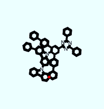 C1=C(c2nc(-c3ccccc3)nc(-c3ccccc3)n2)CC(c2ccc(-c3ccccc3)cc2)C(n2c3ccc(-c4ccccc4)cc3c3cc(-n4c5ccccc5c5ccccc54)ccc32)=C1c1ccc(-c2ccccc2)cc1